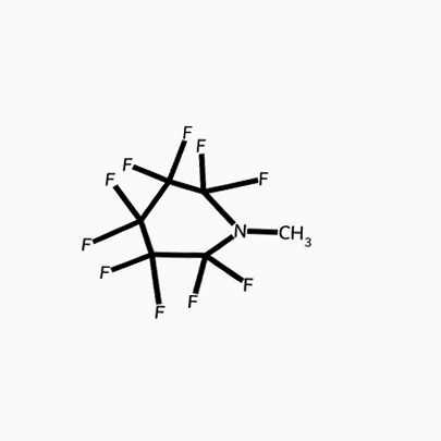 CN1C(F)(F)C(F)(F)C(F)(F)C(F)(F)C1(F)F